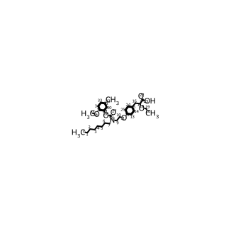 CCCCCCCCN(CCOc1ccc(CC(OCC)C(=O)O)cc1)C(=O)Oc1cc(C)ccc1OC